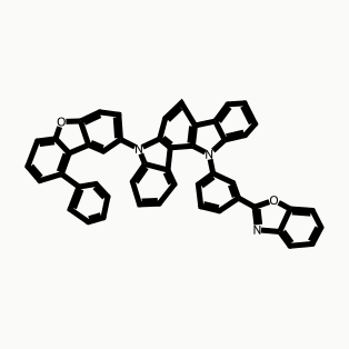 c1ccc(-c2cccc3oc4ccc(-n5c6ccccc6c6c5ccc5c7ccccc7n(-c7cccc(-c8nc9ccccc9o8)c7)c56)cc4c23)cc1